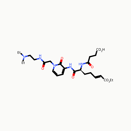 CCOC(=O)/C=C/CC[C@H](NC(=O)CCC(=O)O)C(=O)Nc1cccn(CC(=O)NCCN(CC)CC)c1=O